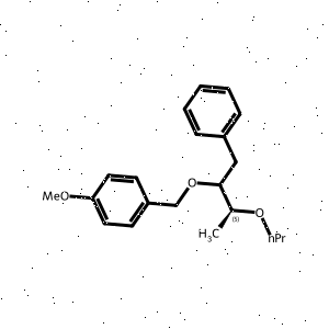 CCCO[C@@H](C)C(Cc1ccccc1)OCc1ccc(OC)cc1